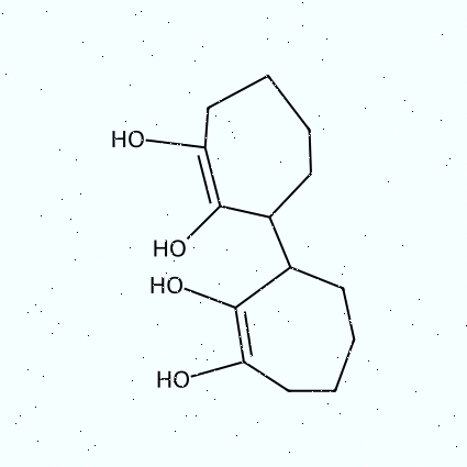 OC1=C(O)C(C2CCCCC(O)=C2O)CCCC1